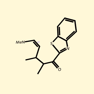 CN/C=C\C(C)C(C)C(=O)c1nc2ccccc2s1